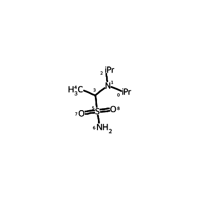 CC(C)N(C(C)C)C(C)S(N)(=O)=O